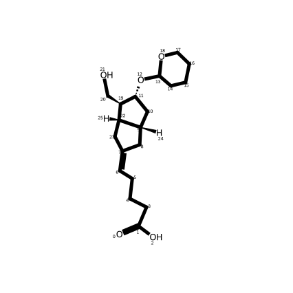 O=C(O)CCC/C=C1\C[C@H]2C[C@@H](OC3CCCCO3)[C@H](CO)[C@H]2C1